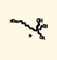 CCCCCCCCCCCCCCCCCC[N+](CCO)(CCO)CCO.[Br-]